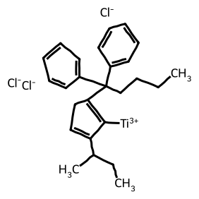 CCCCC(C1=[C]([Ti+3])C(C(C)CC)=CC1)(c1ccccc1)c1ccccc1.[Cl-].[Cl-].[Cl-]